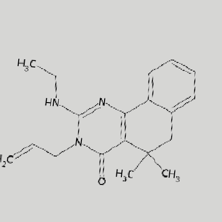 C=CCn1c(NCC)nc2c(c1=O)C(C)(C)Cc1ccccc1-2